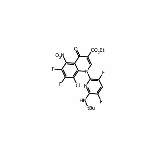 CCOC(=O)c1cn(-c2nc(NC(C)(C)C)c(F)cc2F)c2c(Cl)c(F)c(F)c([N+](=O)[O-])c2c1=O